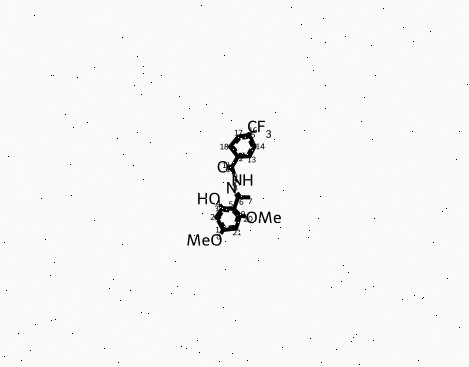 COc1cc(O)c(/C(C)=N/NC(=O)c2ccc(C(F)(F)F)cc2)c(OC)c1